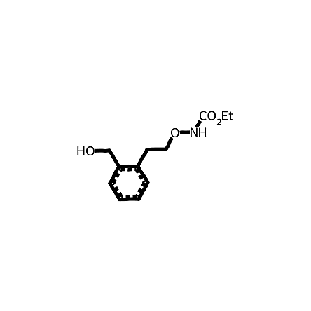 CCOC(=O)NOCCc1ccccc1CO